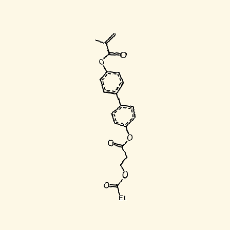 C=C(C)C(=O)Oc1ccc(-c2ccc(OC(=O)CCOC(=O)CC)cc2)cc1